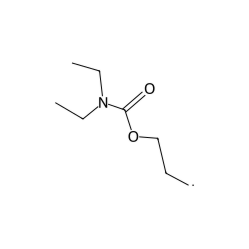 [CH2]CCOC(=O)N(CC)CC